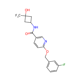 O=C(NC1CC(O)(C(F)(F)F)C1)c1ccc(OCc2cccc(F)c2)nc1